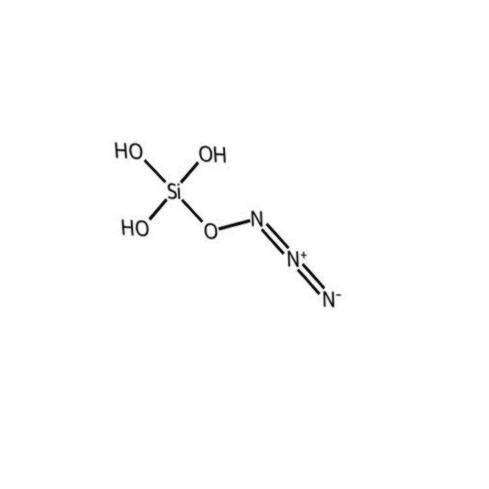 [N-]=[N+]=NO[Si](O)(O)O